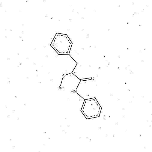 CC(=O)SC(Cc1ccccc1)C(=O)Nc1ccccc1